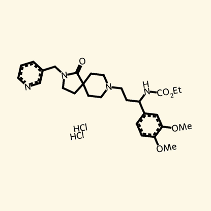 CCOC(=O)NC(CCN1CCC2(CC1)CCN(Cc1cccnc1)C2=O)c1ccc(OC)c(OC)c1.Cl.Cl